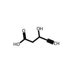 C#CC(O)CC(=O)O